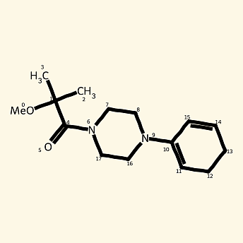 COC(C)(C)C(=O)N1CCN(C2=CC[CH]C=C2)CC1